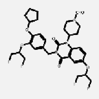 O=CN1CCC(n2c(=O)n(Cc3ccc(OC4CCCC4)c(OC(CF)CF)c3)c(=O)c3cc(OC(CF)CF)ccc32)CC1